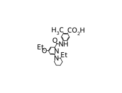 CCOc1cc(C(=O)Nc2ccc(C(=O)O)c(C)c2)nc(N2CCCCC2CC)c1